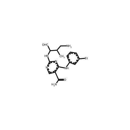 CCc1cccc(Nc2nc(NC(C=O)C(C)CN)ncc2C(N)=O)c1